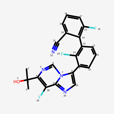 CC(C)(O)c1ncn2c(-c3cccc(-c4c(F)cccc4C#N)c3F)cnc2c1F